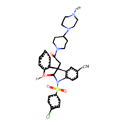 CCCN1CCN(C2CCN(C(=O)CC3(c4ccccc4OCC)C(=O)N(S(=O)(=O)c4ccc(Cl)cc4)c4ccc(C#N)cc43)CC2)CC1